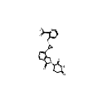 NC(=O)c1ncccc1C[C@@H]1C[C@H]1c1cccc2c1CN(C1CCC(=O)NC1=O)C2=O